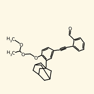 COC(C)OCOc1ccc(C#Cc2ccccc2C=O)cc1C12CC3CC(CC(C3)C1)C2